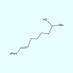 CCCCCC=CCCCCC(O)CCCC